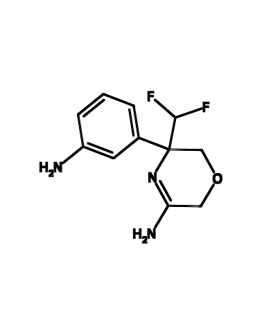 NC1=NC(c2cccc(N)c2)(C(F)F)COC1